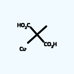 CC(C)(C(=O)O)C(=O)O.[Cu]